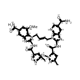 CCn1nc(C)cc1C(=O)Nc1nc2cc(C(N)=O)cnc2n1CC=CCn1c(NC(=O)c2cc(C)no2)nc2cc(C(N)=O)cc(OC)c21